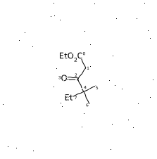 CCOC(=O)CC(=O)C(C)(C)CC